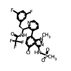 Cn1nc(NS(C)(=O)=O)c2c(Cl)ccc(-c3cccnc3[C@H](Cc3cc(F)cc(F)c3)NC(=O)C(F)(F)F)c21